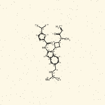 C=CC(=O)N(C)[C@H]1C[C@@H](n2c(NC(=O)c3ccc(C(F)F)s3)nc3cc(CN[C@@H](C)C(C)(C)C)ccc32)C1